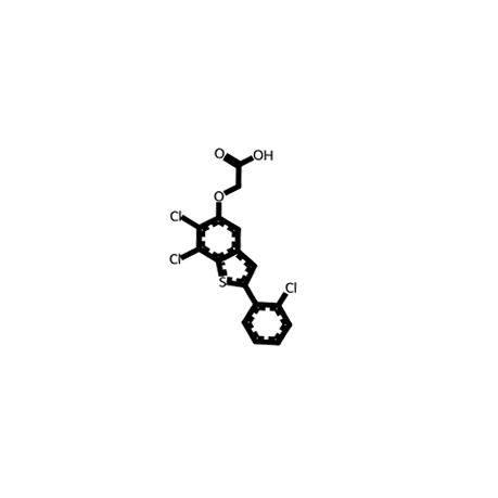 O=C(O)COc1cc2cc(-c3ccccc3Cl)sc2c(Cl)c1Cl